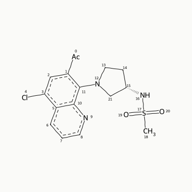 CC(=O)c1cc(Cl)c2cccnc2c1N1CC[C@H](NS(C)(=O)=O)C1